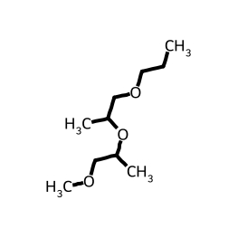 CCCOCC(C)OC(C)COC